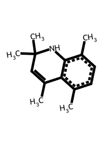 CC1=CC(C)(C)Nc2c(C)ccc(C)c21